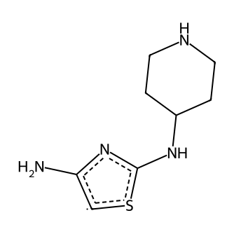 Nc1[c]sc(NC2CCNCC2)n1